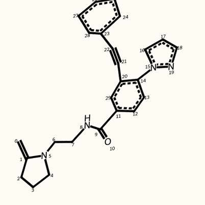 C=C1CCCN1CCNC(=O)c1ccc(-n2cccn2)c(C#Cc2ccccc2)c1